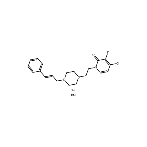 Cl.Cl.O=c1c(Cl)c(Cl)cnn1CCN1CCN(C/C=C/c2ccccc2)CC1